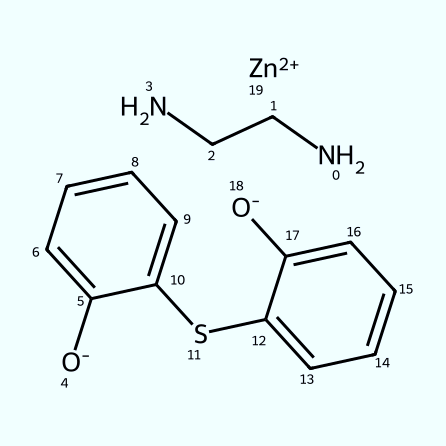 NCCN.[O-]c1ccccc1Sc1ccccc1[O-].[Zn+2]